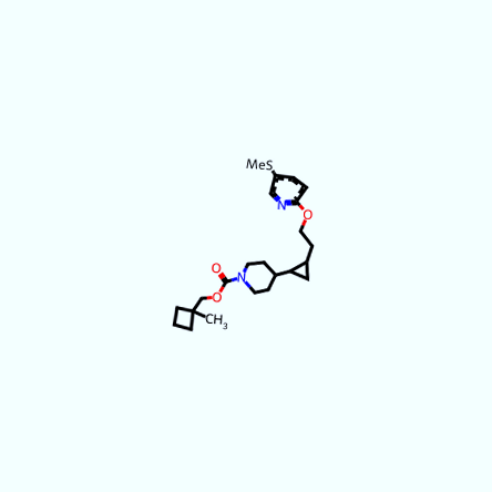 CSc1ccc(OCCC2CC2C2CCN(C(=O)OCC3(C)CCC3)CC2)nc1